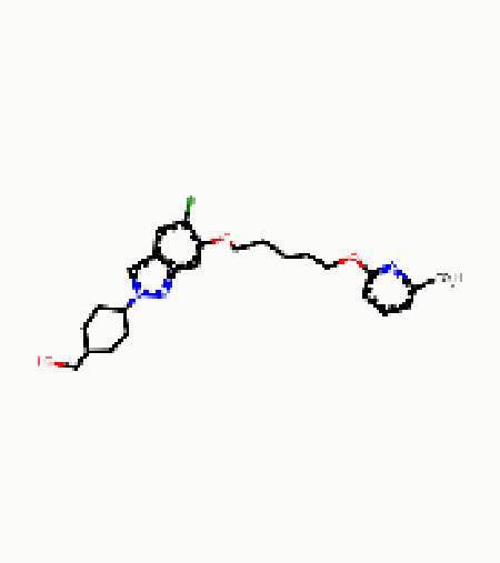 O=C(O)c1cccc(OCCCCCOc2cc3nn(C4CCC(CO)CC4)cc3cc2Br)n1